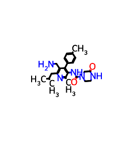 Cc1ccc(-c2c(CN)c(CC(C)C)nc(C)c2NC(=O)N2CCNC(=O)C2)cc1